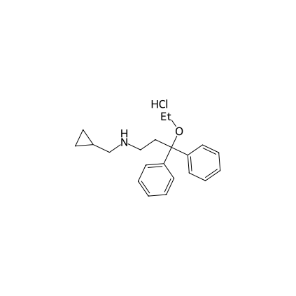 CCOC(CCNCC1CC1)(c1ccccc1)c1ccccc1.Cl